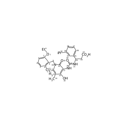 CCOc1cccc(Cl)c1Cn1c(C)c(C)c(O)c(NC(=O)NC(CC(=O)O)c2cccc(C(C)C)c2)c1=O